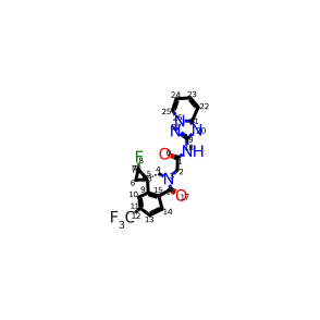 O=C(CN1C[C@@]2(C[C@H]2F)c2cc(C(F)(F)F)ccc2C1=O)Nc1nc2ccccn2n1